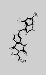 CC[C@H](CC(=O)O)n1c(=O)[nH]c2cc(Cc3nsc4cc(C)cc(C)c34)ccc2c1=O